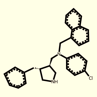 Clc1ccc(N(Cc2cccc3ccccc23)C[C@H]2CNC[C@@H]2Cc2ccccc2)cc1